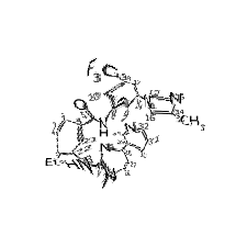 CCc1ccc(C(=O)Nc2cc(-n3cnc(C)c3)cc(C(F)(F)F)c2)cc1Nc1nccc(-c2cccnc2)n1